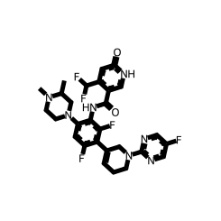 CC1CN(c2cc(F)c(C3=CCCN(c4ncc(F)cn4)C3)c(F)c2NC(=O)c2c[nH]c(=O)cc2C(F)F)CCN1C